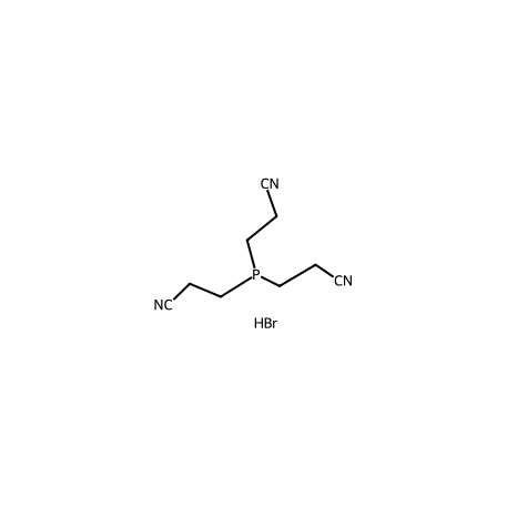 Br.N#CCCP(CCC#N)CCC#N